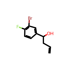 C=CCC(O)c1ccc(F)c(Br)c1